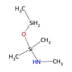 CN[Si](C)(C)O[SiH2]C